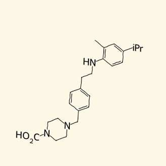 Cc1cc(C(C)C)ccc1NCCc1ccc(CN2CCN(C(=O)O)CC2)cc1